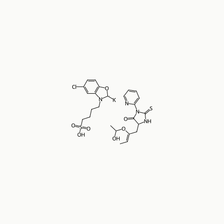 CC=C(CC1NC(=S)N(c2ccccn2)C1=O)OC(C)O.O=S(=O)(O)CCCCN1[C]([K])Oc2ccc(Cl)cc21